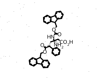 N[C@](CC(=O)O)(C[C@@H](C(=O)OCC1c2ccccc2-c2ccccc21)c1ccccc1)NC(=O)OCC1c2ccccc2-c2ccccc21